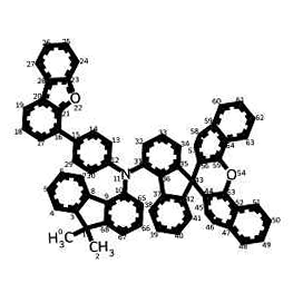 CC1(C)c2ccccc2-c2c(N(c3ccc(-c4cccc5c4oc4ccccc45)cc3)c3cccc4c3-c3ccccc3C43c4ccc5ccccc5c4Oc4c3ccc3ccccc43)cccc21